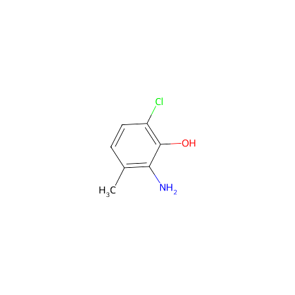 Cc1ccc(Cl)c(O)c1N